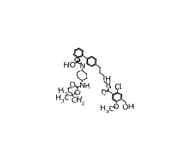 COc1cc(C(=O)NCCCCc2ccc(-c3ccccc3)c(N(C(=O)O)C3CCC(NC(=O)OC(C)(C)C)CC3)c2)c(Cl)cc1CO